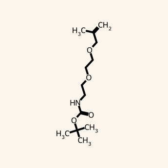 C=C(C)COCCOCCNC(=O)OC(C)(C)C